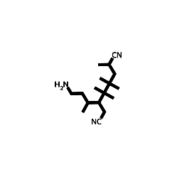 CC(C#N)CC(C)(C)C(C)(C)C(CC#N)C(C)CCN